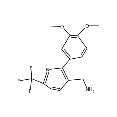 COc1ccc(-c2nc(C(F)(F)F)ccc2CN)cc1OC